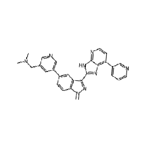 CN(C)Cc1cncc(-c2ccc3[nH]nc(-c4nc5c(-c6cccnc6)ccnc5[nH]4)c3c2)c1